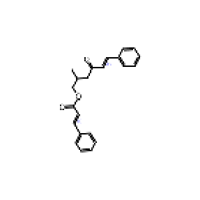 CC(COC(=O)/C=C/c1ccccc1)CC(=O)/C=C/c1ccccc1